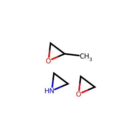 C1CN1.C1CO1.CC1CO1